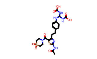 CC(=O)Nc1nc(CCc2ccc(NC(NC(=O)O)NC(=O)O)cc2)c(C(=O)N2CCS(=O)(=O)CC2)s1